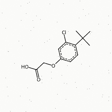 CC(C)(C)c1ccc(OCC(=O)O)cc1Cl